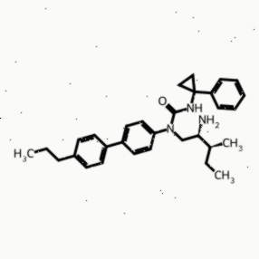 CCCc1ccc(-c2ccc(N(C[C@@H](N)[C@@H](C)CC)C(=O)NC3(c4ccccc4)CC3)cc2)cc1